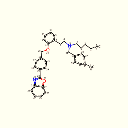 CC(=O)CCCCN(CCc1ccccc1OCc1ccc(-c2nc3ccccc3o2)cc1)Cc1ccc(C(C)=O)cc1